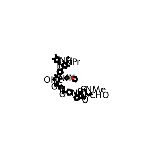 C=CN(c1c(C)cc(-c2ccc(C3(C)CCN(C(=O)C4CCN(C(=O)C5CCC(Nc6cccc7c6C(=O)N(C(CCC=O)C(=O)NC)C7=O)CC5)C4)CC3)c(N(C=O)C3CC(N4CCCCC4)C3)c2)nc1Nc1cc(C)c(C)cc1F)C(C)C